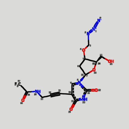 [N-]=[N+]=NCOC1C[C@H](n2cc(C#CCNC(=O)C(F)(F)F)c(=O)[nH]c2=O)O[C@@H]1CO